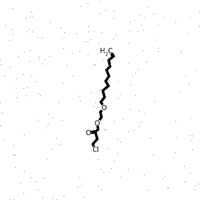 C=CCCCCCCCCCOCCOCC(=O)CCCl